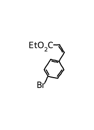 CCOC(=O)/C=C\c1ccc(Br)cc1